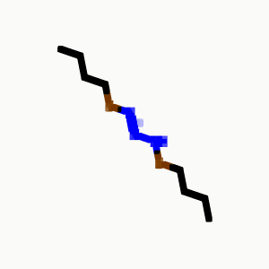 CCCCS/N=N/NSCCCC